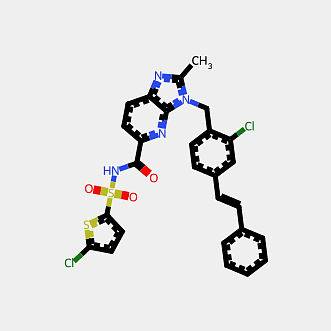 Cc1nc2ccc(C(=O)NS(=O)(=O)c3ccc(Cl)s3)nc2n1Cc1ccc(/C=C/c2ccccc2)cc1Cl